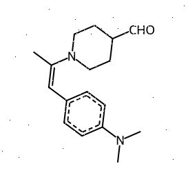 CC(=Cc1ccc(N(C)C)cc1)N1CCC(C=O)CC1